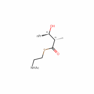 CCC[C@@H](O)[C@H](C)C(=O)SCCNC(C)=O